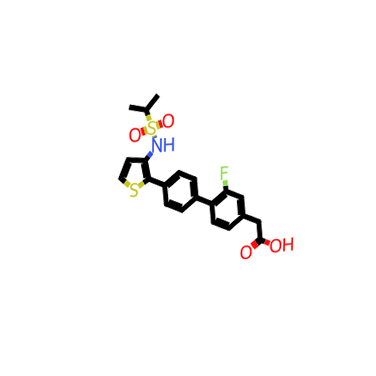 CC(C)S(=O)(=O)Nc1ccsc1-c1ccc(-c2ccc(CC(=O)O)cc2F)cc1